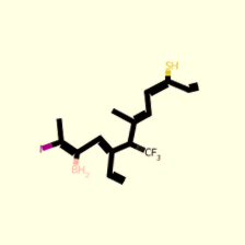 BC(/C=C(\C=C)C(/C(C)=C/C=C(/S)C=C)C(F)(F)F)=C(/C)I